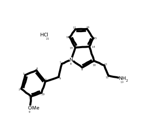 COc1cccc(CCn2cc(CCN)c3ccccc32)c1.Cl